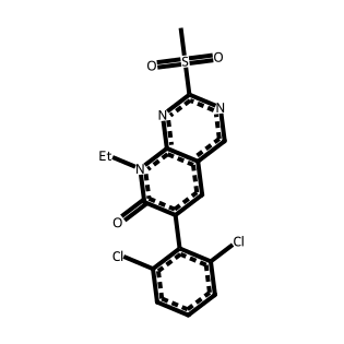 CCn1c(=O)c(-c2c(Cl)cccc2Cl)cc2cnc(S(C)(=O)=O)nc21